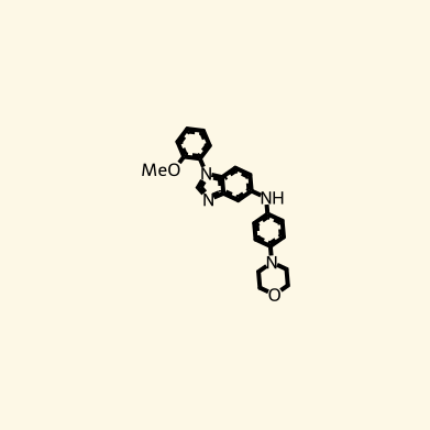 COc1ccccc1-n1cnc2cc(Nc3ccc(N4CCOCC4)cc3)ccc21